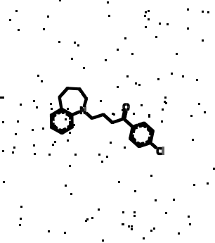 O=C(CCCN1CCCCc2ccccc21)c1ccc(Cl)cc1